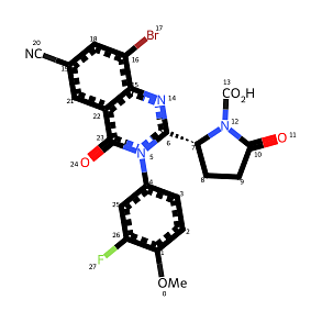 COc1ccc(-n2c([C@H]3CCC(=O)N3C(=O)O)nc3c(Br)cc(C#N)cc3c2=O)cc1F